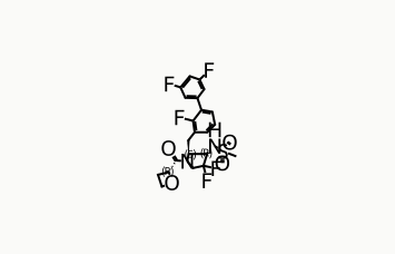 CS(=O)(=O)N[C@@H]1[C@H](Cc2cccc(-c3cc(F)cc(F)c3)c2F)N(C(=O)[C@H]2CCO2)CC1(F)F